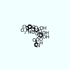 C[C@@]1(Oc2ccc(Cl)c([N+](=O)[O-])c2)O[C@H](CO)[C@@H](O[C@H]2O[C@H](COC(=O)c3cccnc3)[C@@H](O)[C@H](O)[C@H]2O)[C@H](O)[C@H]1O